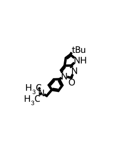 CN(C)Cc1ccc(-n2cc3cc(C(C)(C)C)[nH]c3nc2=O)cc1